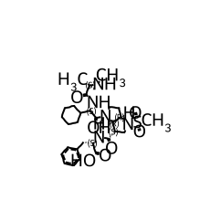 CN[C@@H](C)C(=O)N[C@H](C(=O)N1CC[C@@H]2[C@H]1[C@@H](C(=O)N[C@@H](Cc1ccccc1)C(=O)O)CN2S(C)(=O)=O)C1CCCCC1